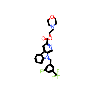 O=C(OCCN1CCOCC1)c1cc2c3ccccc3n(Cc3cc(F)cc(C(F)(F)F)c3)c2cn1